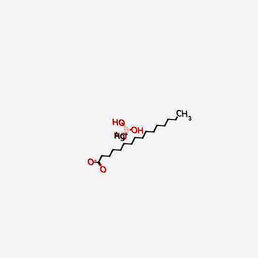 CCCCCCCCCCCCCCCC(=O)[O-].OB(O)O.[Ag+]